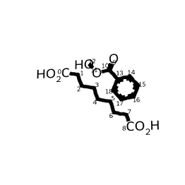 O=C(O)CCCCCCCC(=O)O.O=C(OO)c1ccccc1